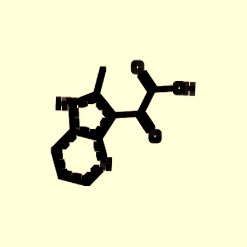 Cc1[nH]c2cccnc2c1C(=O)C(=O)O